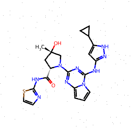 C[C@]1(O)C[C@@H](C(=O)Nc2nccs2)N(c2nc(Nc3cc(C4CC4)[nH]n3)n3cccc3n2)C1